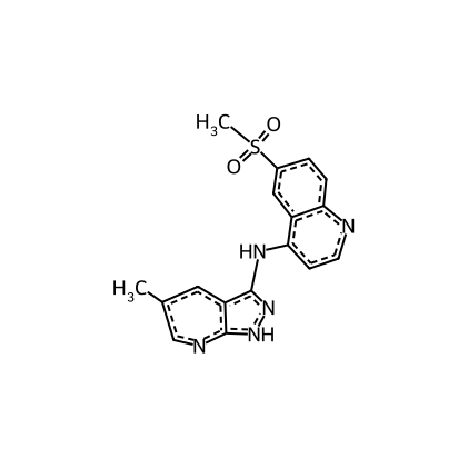 Cc1cnc2[nH]nc(Nc3ccnc4ccc(S(C)(=O)=O)cc34)c2c1